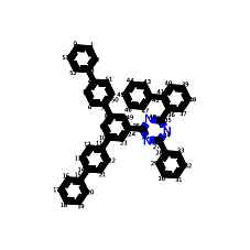 c1ccc(-c2ccc(-c3cc(-c4ccc(-c5ccccc5)cc4)cc(-c4nc(-c5ccccc5)nc(-c5ccccc5-c5ccccc5)n4)c3)cc2)cc1